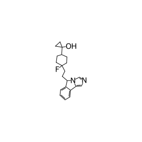 OC1(C2CCC(F)(CCC3c4ccccc4-c4cncn43)CC2)CC1